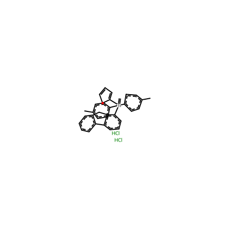 Cl.Cl.[CH2]=[Ti]([C]1=CC=CC1)([c]1ccc(C)cc1)([c]1ccc(C)cc1)[c]1cccc2c1Cc1ccccc1-2